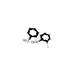 O=C(O)c1ccccc1.O=Cc1ccccc1F